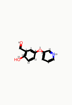 O=Cc1cc(Oc2cccnc2)ccc1O